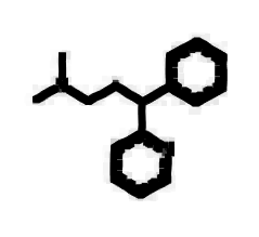 CN(C)C[CH]C(c1ccccc1)c1ccccn1